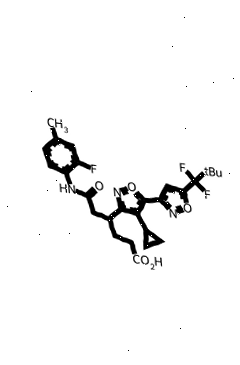 Cc1ccc(NC(=O)CC(CCC(=O)O)c2noc(-c3cc(C(F)(F)C(C)(C)C)on3)c2C2CC2)c(F)c1